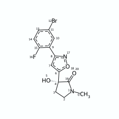 CN1CC[C@@](O)(c2cc(-c3cc(Br)ccc3F)no2)C1=O